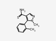 Cc1ccccc1-c1c(C(N)=S)cnn1C